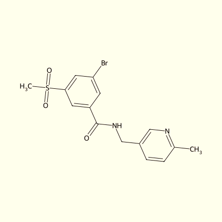 Cc1ccc(CNC(=O)c2cc(Br)cc(S(C)(=O)=O)c2)cn1